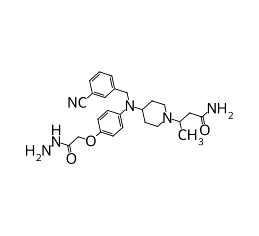 CC(CC(N)=O)N1CCC(N(Cc2cccc(C#N)c2)c2ccc(OCC(=O)NN)cc2)CC1